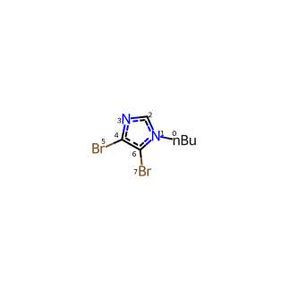 CCCCn1cnc(Br)c1Br